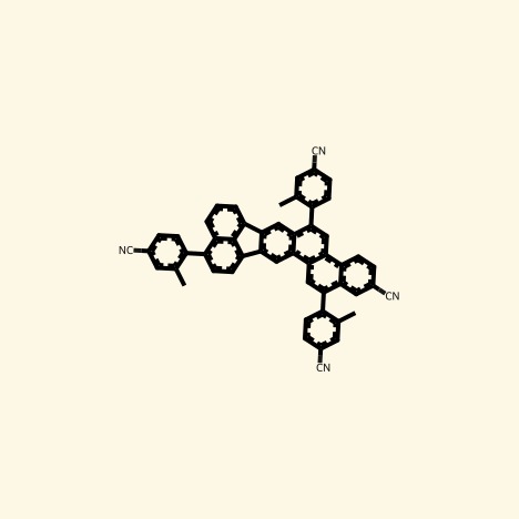 Cc1cc(C#N)ccc1-c1ccc2c3c(cccc13)-c1cc3c(-c4ccc(C#N)cc4C)cc4c5ccc(C#N)cc5c(-c5ccc(C#N)cc5C)cc4c3cc1-2